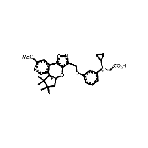 COc1cc(-c2onc(COc3cccc([C@@H](CC(=O)O)C4CC4)c3)c2OC2CC(C)(C)C(C)(C)C2)c(F)cn1